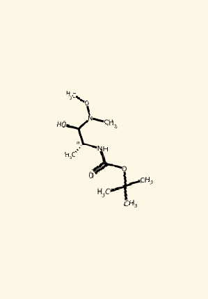 CON(C)C(O)[C@@H](C)NC(=O)OC(C)(C)C